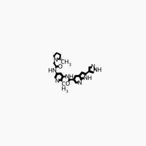 Cc1ncc(NC(=O)CN2CCC[C@@H]2C)cc1NC(=O)c1cnc2[nH]c(-c3cn[nH]c3)cc2c1